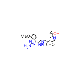 COc1cccc2c(-c3cn(C/C(C=O)=C/C=C\N(C)C(C)C4(O)CC4)nn3)nc(N)nc12